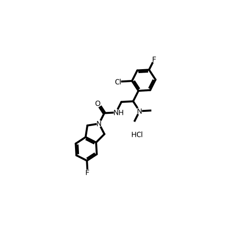 CN(C)C(CNC(=O)N1Cc2ccc(F)cc2C1)c1ccc(F)cc1Cl.Cl